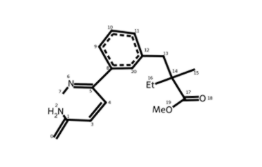 C=C(N)/C=C\C(=N/C)c1cccc(CC(C)(CC)C(=O)OC)c1